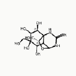 N=C1NC2O[C@H](C(=O)O)C3(N1)C2C(O)C(O)(CO)C(O)[C@H]3O